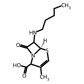 CCCCCNC1C(=O)N2C(C(=O)O)C(C)=CS[C@H]12